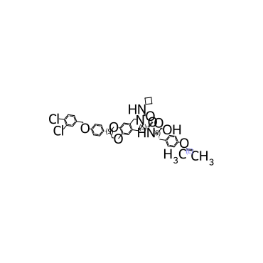 C/C=C(\C)Oc1ccc(C[C@H](NC(=O)[C@@H]2Cc3cc4c(cc3CN2C(=O)NC2CCC2)O[C@@H](c2ccc(OCc3ccc(Cl)c(Cl)c3)cc2)CO4)C(=O)O)cc1